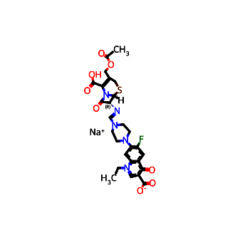 CCn1cc(C(=O)[O-])c(=O)c2cc(F)c(N3CCN(C=N[C@@H]4C(=O)N5C(C(=O)O)=C(COC(C)=O)CS[C@H]45)CC3)cc21.[Na+]